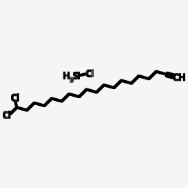 C#CCCCCCCCCCCCCCCCCC(Cl)Cl.[SiH3]Cl